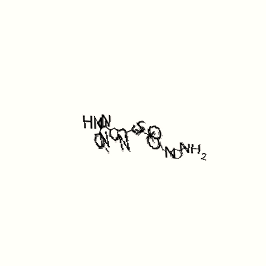 Cc1cccc(-c2[nH]cnc2-c2ccc3ncc(-c4csc(C(=O)OCCN5CCC[C@H](N)C5)c4)cc3c2)n1